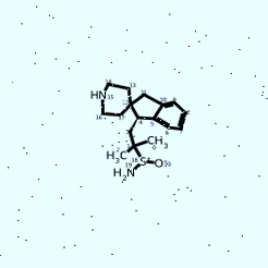 CC(C)(C[C@@H]1c2ccccc2CC12CCNCC2)[S+](N)[O-]